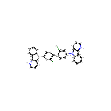 Fc1cc(C2c3ccccc3-c3ncccc32)ccc1-c1ccc(-n2c3ccccc3c3ncccc32)cc1F